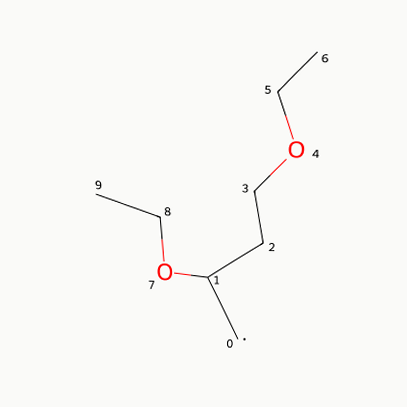 [CH2]C(CCOCC)OCC